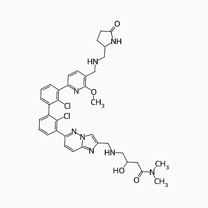 COc1nc(-c2cccc(-c3cccc(-c4ccc5nc(CNCC(O)CC(=O)N(C)C)cn5n4)c3Cl)c2Cl)ccc1CNCC1CCC(=O)N1